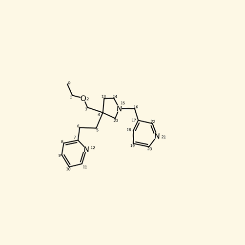 CCOCC1(CCc2ccccn2)CCN(Cc2cccnc2)C1